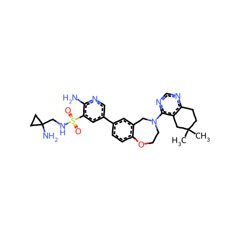 CC1(C)CCc2ncnc(N3CCOc4ccc(-c5cnc(N)c(S(=O)(=O)NCC6(N)CC6)c5)cc4C3)c2C1